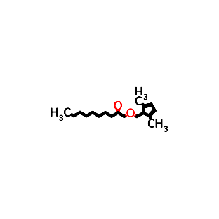 CCCCCCCCC(=O)COCC1C(C)=CC=C1C